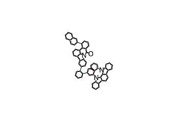 O=c1c2cccc(-c3ccc4ccccc4c3)c2c2cccc3c4cc(-c5ccccc5-c5cccc(-n6c7ccccc7c7ccc8c9ccccc9n(-c9ccccc9)c8c76)c5)ccc4n1c32